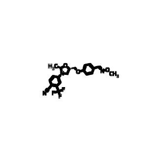 CO/N=C/c1ccc(OC[C@@H]2CN(c3ccc(C#N)c(C(F)(F)F)c3)[C@@H](C)O2)cc1